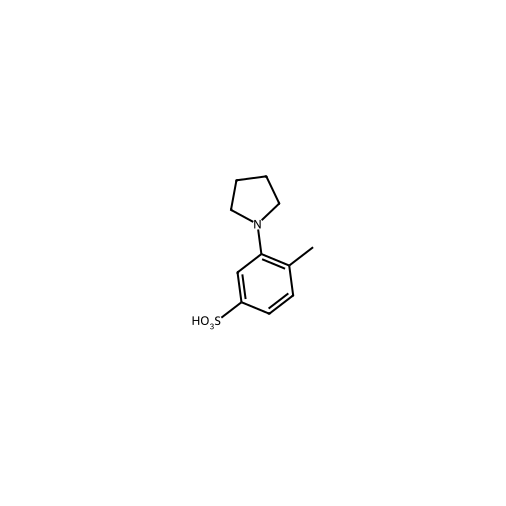 Cc1ccc(S(=O)(=O)O)cc1N1CCCC1